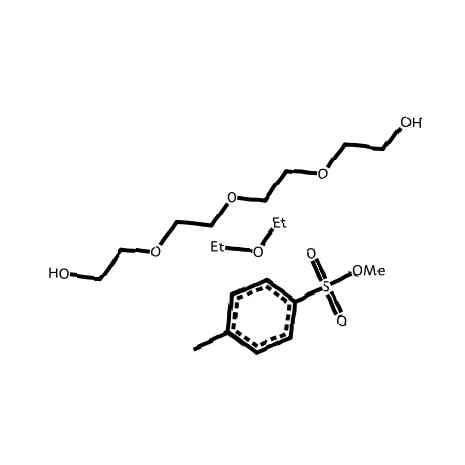 CCOCC.COS(=O)(=O)c1ccc(C)cc1.OCCOCCOCCOCCO